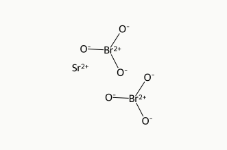 [O-][Br+2]([O-])[O-].[O-][Br+2]([O-])[O-].[Sr+2]